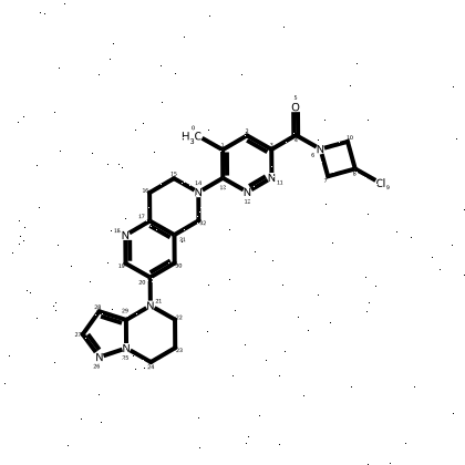 Cc1cc(C(=O)N2CC(Cl)C2)nnc1N1CCc2ncc(N3CCCn4nccc43)cc2C1